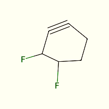 FC1C#CCCC1F